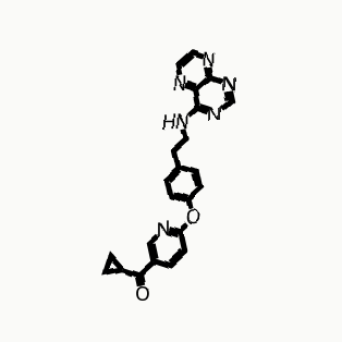 O=C(c1ccc(Oc2ccc(CCNc3ncnc4nccnc34)cc2)nc1)C1CC1